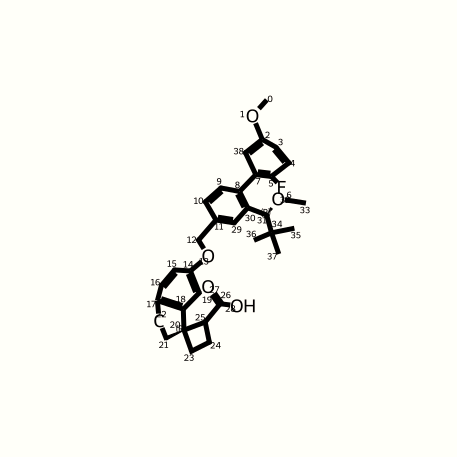 COc1ccc(F)c(-c2ccc(COc3ccc4c(c3)[C@@]3(CC4)CCC3C(=O)O)cc2[C@H](OC)C(C)(C)C)c1